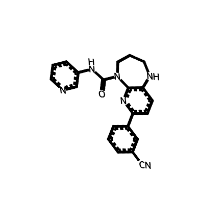 N#Cc1cccc(-c2ccc3c(n2)N(C(=O)Nc2cccnc2)CCCN3)c1